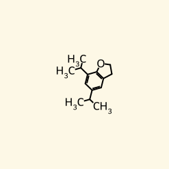 CC(C)c1cc2c(c(C(C)C)c1)OCC2